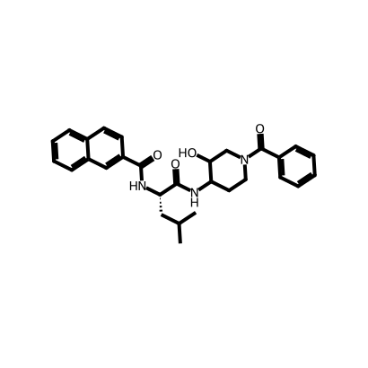 CC(C)C[C@H](NC(=O)c1ccc2ccccc2c1)C(=O)NC1CCN(C(=O)c2ccccc2)CC1O